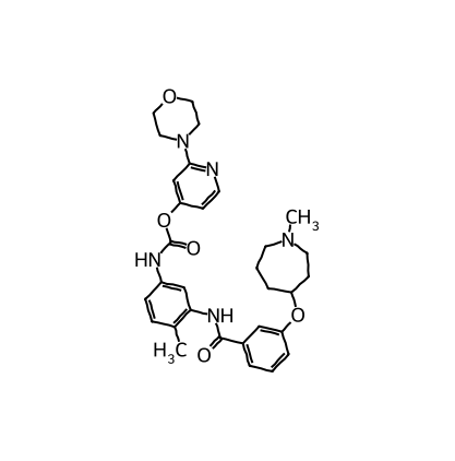 Cc1ccc(NC(=O)Oc2ccnc(N3CCOCC3)c2)cc1NC(=O)c1cccc(OC2CCCN(C)CC2)c1